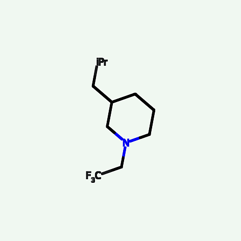 CC(C)CC1CCCN(CC(F)(F)F)C1